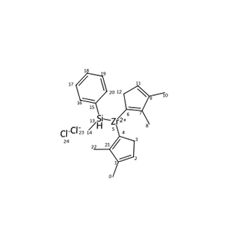 CC1=CC[C]([Zr+2]([C]2=C(C)C(C)=CC2)[SiH](C)c2ccccc2)=C1C.[Cl-].[Cl-]